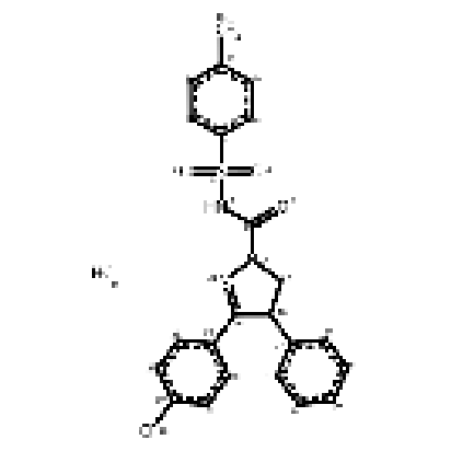 Cl.O=C(NS(=O)(=O)c1ccc(C(F)(F)F)cc1)N1CC(c2ccccc2)C(c2ccc(Cl)cc2)=N1